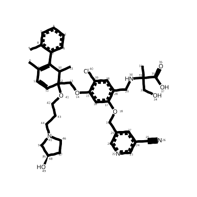 CC1=C(c2ccccc2C)C(C)C(COc2cc(OCc3cncc(C#N)c3)c(CNC(C)(CO)C(=O)O)cc2Cl)(OCCCN2CC[C@@H](O)C2)C=C1